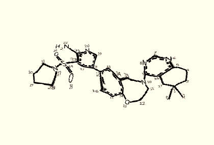 CC1(C)CCc2ncnc(N3CCOc4ccc(-c5cnc(N)c(S(=O)(=O)N6CCCC6)c5)cc4C3)c2C1